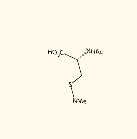 CNSC[C@@H](NC(C)=O)C(=O)O